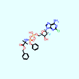 CC(C)(NP(=O)(Oc1ccccc1)OP(=O)(O)OC[C@H]1O[C@@H](n2cnc3c(N)nc(Cl)nc32)[C@H](F)C1O)C(=O)OCc1ccccc1